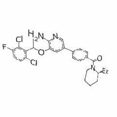 CC[C@H]1CCCCN1C(=O)c1ccc(-c2cnc(N)c(OC(C)c3c(Cl)ccc(F)c3Cl)c2)cc1